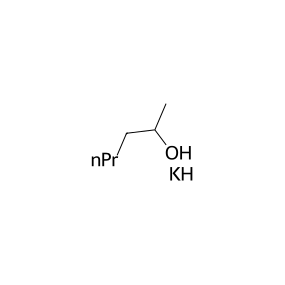 CCCCC(C)O.[KH]